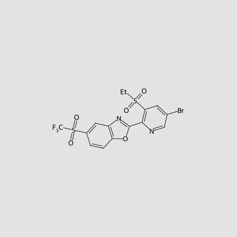 CCS(=O)(=O)c1cc(Br)cnc1-c1nc2cc(S(=O)(=O)C(F)(F)F)ccc2o1